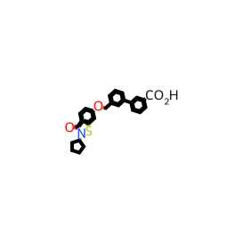 O=C(O)c1cccc(-c2cccc(COc3ccc4c(=O)n(C5CCCC5)sc4c3)c2)c1